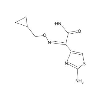 [NH]C(=O)C(=NOCC1CC1)c1csc(N)n1